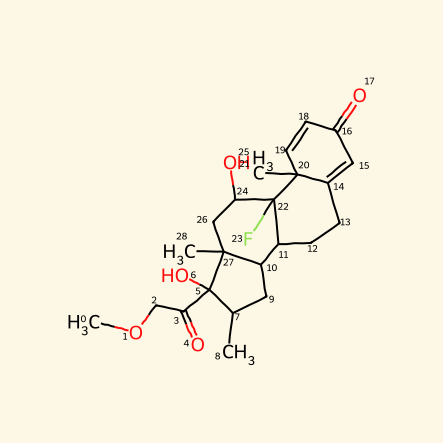 COCC(=O)C1(O)C(C)CC2C3CCC4=CC(=O)C=CC4(C)C3(F)C(O)CC21C